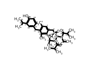 Cc1cc(CP(=O)(O)N(N(C(=O)C(C)C)C(C)C)N(C(=O)C(C)C)C(C)C)cc(C)c1Cc1ccc(O)c(C(C)C)c1